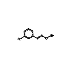 CCc1cccc(/[C]=N/OC(C)C)c1